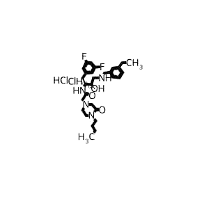 CCCCN1CCN(CC(=O)N[C@@H](Cc2cc(F)cc(F)c2)[C@@H](O)CNCc2cccc(CC)c2)CC1=O.Cl.Cl